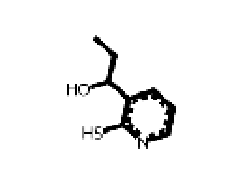 CCC(O)c1cccnc1S